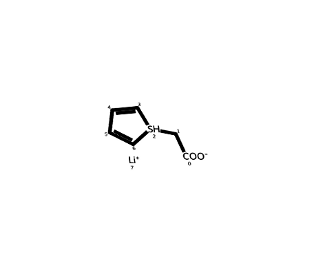 O=C([O-])C[SH]1C=CC=C1.[Li+]